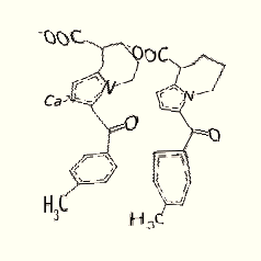 Cc1ccc(C(=O)c2ccc3n2CCCC3C(=O)[O-])cc1.Cc1ccc(C(=O)c2ccc3n2CCCC3C(=O)[O-])cc1.[Ca+2]